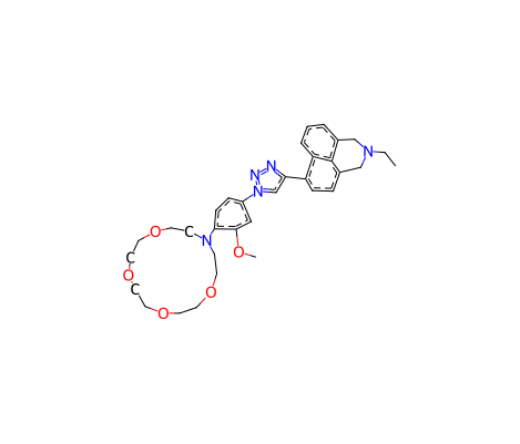 CCN1Cc2cccc3c(-c4cn(-c5ccc(N6CCOCCOCCOCCOCC6)c(OC)c5)nn4)ccc(c23)C1